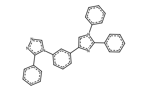 c1ccc(-c2nncn2-c2cccc(-c3cn(-c4ccccc4)c(-c4ccccc4)n3)c2)cc1